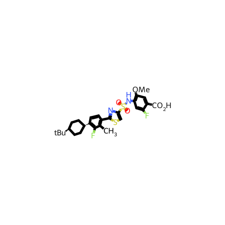 COc1cc(C(=O)O)c(F)cc1NS(=O)(=O)c1csc(-c2ccc([C@H]3CC[C@H](C(C)(C)C)CC3)c(F)c2C)n1